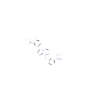 NC(=O)c1cccc(-c2cnc3c(Nc4cccc(N(N)N)c4)nccn23)c1